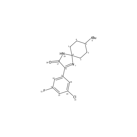 CC(C)(C)C1CCC2(CC1)N=C(c1cc(F)cc(Cl)c1)C(=O)N2